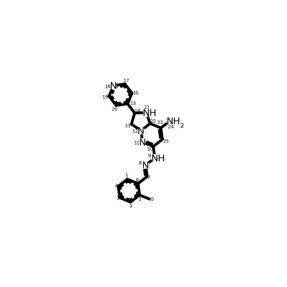 Cc1ccccc1/C=N/NC1=NN2CC(c3ccncc3)NC2C(N)=C1